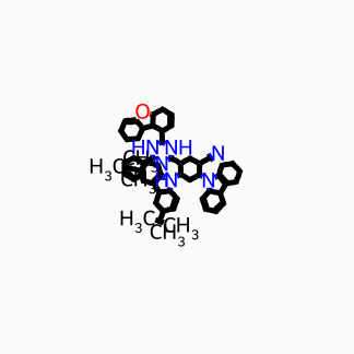 CC(C)(C)C1C=CC2C(C1)C1=C(CCC(C(C)(C)C)C1)N2C1CC(N2C3=C(CCCC3)C3C=CC=CC32)C(C#N)CC1C1NC(C2CC=CCC2)NC(C2C=CCC3OC4=CCCCC4C32)N1